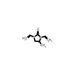 C=CN1CC(C)N(C=C)C1=O